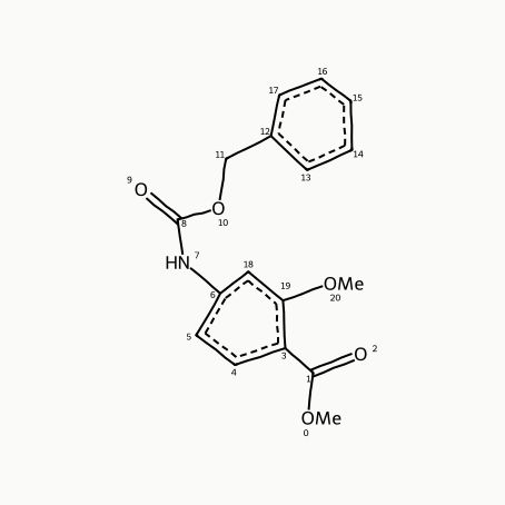 COC(=O)c1ccc(NC(=O)OCc2ccccc2)cc1OC